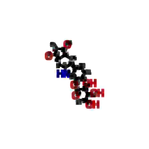 CC1C(=O)C2CC3Nc4c(OC5OCC(O)C(O)C5O)cccc4C3CC2C1=O